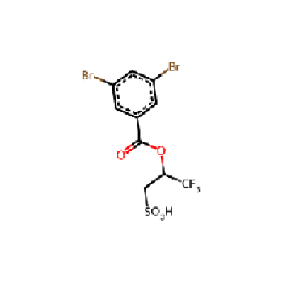 O=C(OC(CS(=O)(=O)O)C(F)(F)F)c1cc(Br)cc(Br)c1